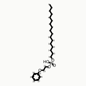 CCCCCCCCCCCCCCCCCOP(=O)(O)OCCOc1ccccc1